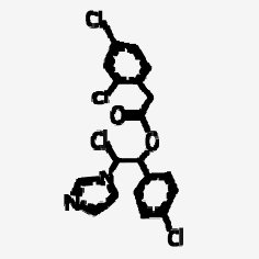 O=C(Cc1ccc(Cl)cc1Cl)OC(c1ccc(Cl)cc1)C(Cl)n1ccnc1